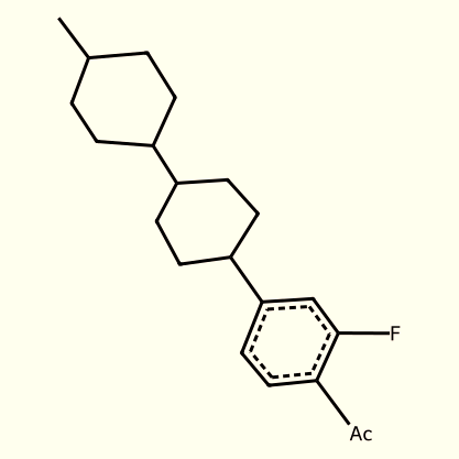 CC(=O)c1ccc(C2CCC(C3CCC(C)CC3)CC2)cc1F